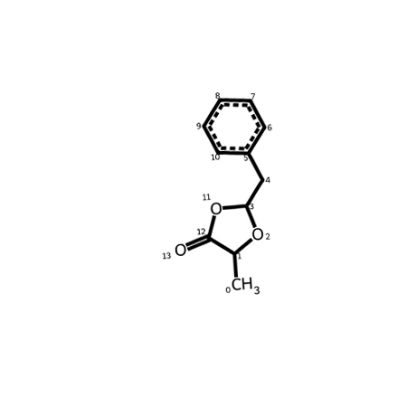 CC1OC(Cc2ccccc2)OC1=O